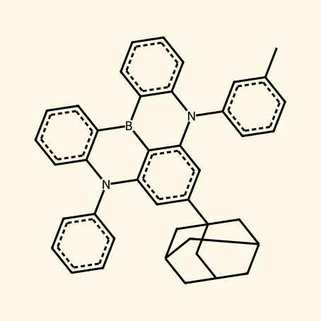 Cc1cccc(N2c3ccccc3B3c4ccccc4N(c4ccccc4)c4cc(C56CC7CC(CC(C7)C5)C6)cc2c43)c1